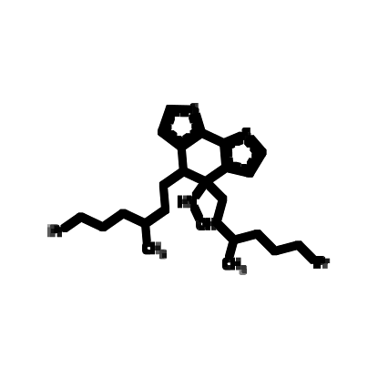 CC(C)CCCC(C)CCC1c2ccsc2-c2sccc2C1(CCC(C)CCCC(C)C)NO